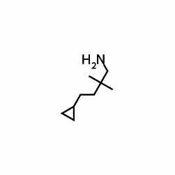 CC(C)(CN)CCC1CC1